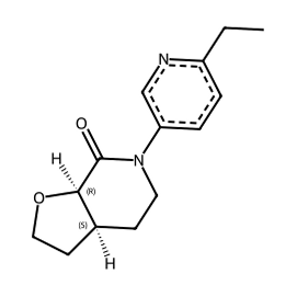 CCc1ccc(N2CC[C@H]3CCO[C@H]3C2=O)cn1